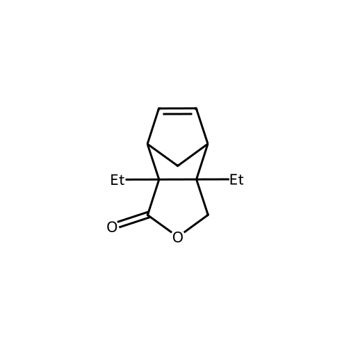 CCC12COC(=O)C1(CC)C1C=CC2C1